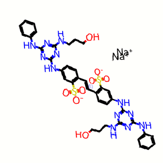 O=S(=O)([O-])c1cc(Nc2nc(NCCCO)nc(Nc3ccccc3)n2)ccc1/C=C/c1ccc(Nc2nc(NCCCO)nc(Nc3ccccc3)n2)cc1S(=O)(=O)[O-].[Na+].[Na+]